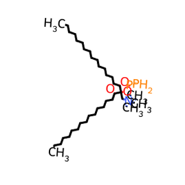 CCCCCCCCCCCCCCCC(=O)C(C[N+](C)(C)C)(O[P-]P)C(=O)CCCCCCCCCCCCCCC